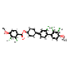 CCOc1ccc(C(=O)OC2CCC(c3ccc(-c4ccc(OCC)c(F)c4F)c(F)c3)CC2)c(F)c1F